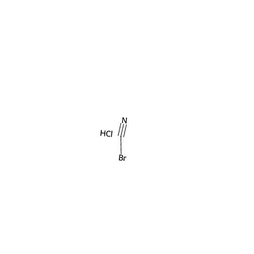 Cl.N#CBr